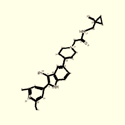 Cc1cc(-c2[nH]c3ccc(C4CCN(CC(=O)NCC5(C)CC5)CC4)cc3c2C(C)C)cc(C)n1